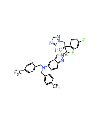 C[C@@H](n1cc2cc(N(Cc3ccc(C(F)(F)F)cc3)Cc3ccc(C(F)(F)F)cc3)ccc2n1)[C@](O)(Cn1cncn1)c1ccc(F)cc1F